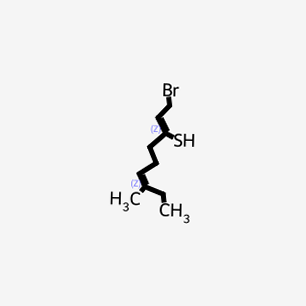 CC/C(C)=C\CC/C(S)=C/CBr